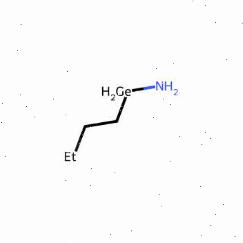 CCC[CH2][GeH2][NH2]